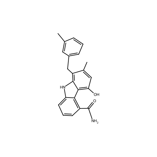 Cc1cccc(Cc2c(C)cc(O)c3c2[nH]c2cccc(C(N)=O)c23)c1